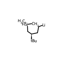 [Li][CH2]C[C@H](C[SiH](C)C)C(C)(C)C